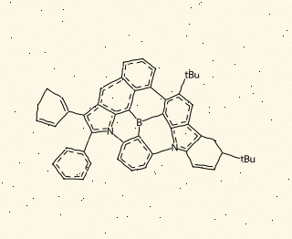 CC(C)(C)c1cc2c3c(n4c2c2c1-c1cccc5cc6c(C7=CCCC=C7)c(-c7ccccc7)n7c6c(c15)B2c1c-4cccc1-7)C=CC(C(C)(C)C)C3